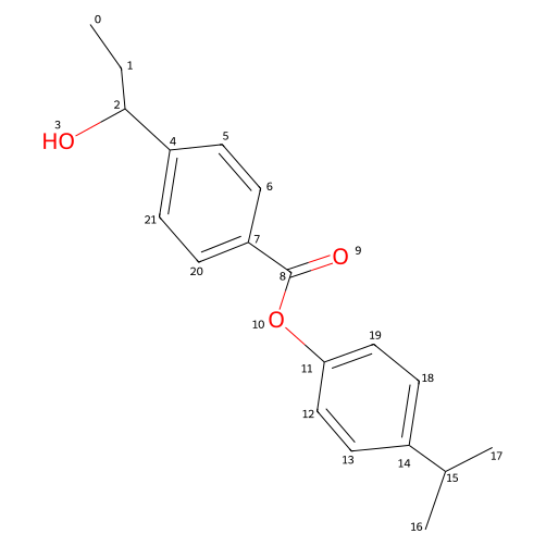 CCC(O)c1ccc(C(=O)Oc2ccc(C(C)C)cc2)cc1